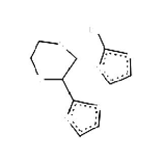 Brc1nccs1.c1csc(C2CNCCO2)n1